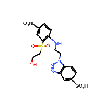 O=[N+]([O-])c1ccc(NCCn2nnc3cc(S(=O)(=O)O)ccc32)c(S(=O)(=O)CCO)c1